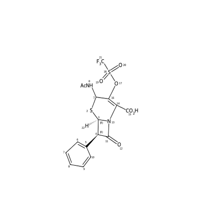 CC(=O)NC1S[C@@H]2[C@H](c3ccccc3)C(=O)N2C(C(=O)O)=C1OS(=O)(=O)C(F)(F)F